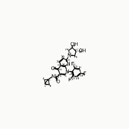 O=C(NC12CC(C1)C2)c1cn(-c2c(F)cc(F)cc2F)c2nc(N3C[C@@H](O)[C@H](O)C3)ccc2c1=O